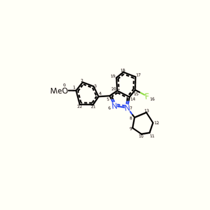 COc1ccc(-c2nn(C3CCCCC3)c3c(F)cccc23)cc1